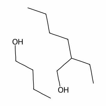 CCCCC(CC)CO.CCCCO